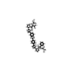 CNC(=O)N[C@@H](C(=O)N1CCC[C@H]1c1ncc(-c2ccc(-c3nc4ccc(-c5cnc([C@@H]6CCCN6C(=O)[C@@H](NC(=O)OC)C(C)C)[nH]5)cc4o3)cc2)[nH]1)c1ccccc1